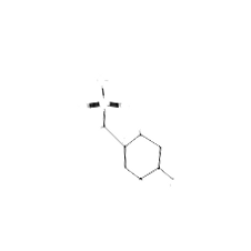 O=S(=O)(O)CC1CCC(F)CC1